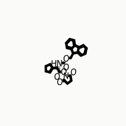 O=C(N[C@H](C(=O)ON1C(=O)CCC1=O)C1=CCCC1)OCC1c2ccccc2-c2ccccc21